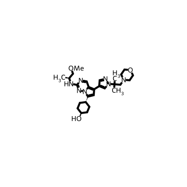 COC[C@H](C)Nc1ncc2c(-c3cnn(C(C)(C)CN4CCOCC4)c3)cc([C@H]3CC[C@H](O)CC3)n2n1